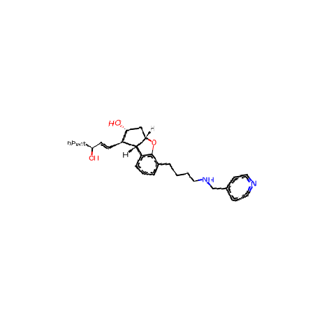 CCCCC[C@H](O)/C=C/[C@@H]1[C@H]2c3cccc(CCCCNCc4ccncc4)c3O[C@H]2C[C@H]1O